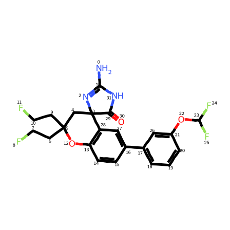 NC1=NC2(CC(CCF)(CCF)Oc3ccc(-c4cccc(OC(F)F)c4)cc32)C(=O)N1